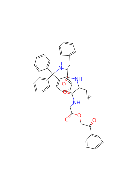 CC(C)CC(NC(=O)C(Cc1ccccc1)NC(c1ccccc1)(c1ccccc1)c1ccccc1)C(=O)NCC(=O)OCC(=O)c1ccccc1